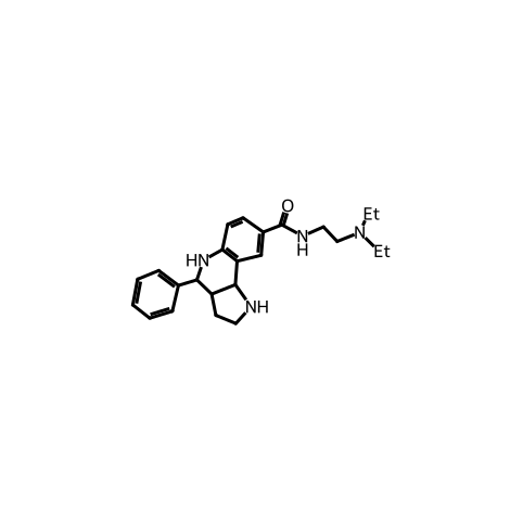 CCN(CC)CCNC(=O)c1ccc2c(c1)C1NCCC1C(c1ccccc1)N2